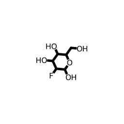 OCC1OC(O)C(F)C(O)C1O